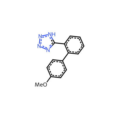 COc1ccc(-c2ccccc2-c2nnn[nH]2)cc1